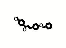 O=C(/C=C/c1ccc(OCc2ccccc2)cc1)c1ccc(Cl)cc1